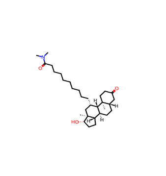 CN(C)C(=O)CCCCCCCCC[C@H]1C[C@]2(C)[C@@H](O)CC[C@H]2[C@@H]2CC[C@H]3CC(=O)CC[C@]3(C)[C@@H]12